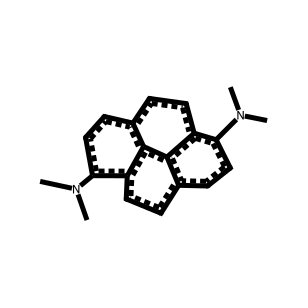 CN(C)c1ccc2ccc3c(N(C)C)ccc4ccc1c2c43